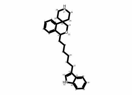 c1ccc2c(c1)C(CCCCCCc1c[nH]c3ccccc13)OCC21CCNCC1